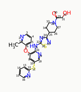 Cc1ncccc1Oc1cc(Sc2ccccn2)cnc1Nc1nc(C2CCN(C(=O)CO)CC2)ns1